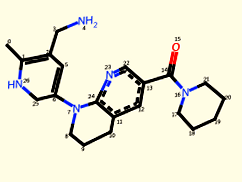 CC1=C(CN)C=C(N2CCCc3cc(C(=O)N4CCCCC4)cnc32)CN1